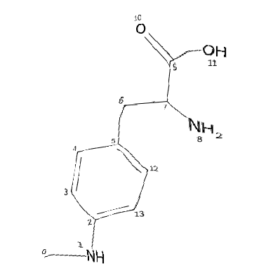 CNc1ccc(CC(N)C(=O)O)cc1